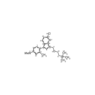 CNc1ccc(-c2cn(COCC[Si](C)(C)C)c3nc(Cl)ccc23)c(C)n1